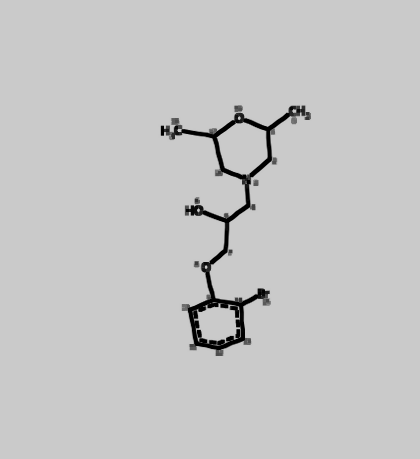 CC1CN(CC(O)COc2ccccc2Br)CC(C)O1